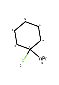 [CH2]CCC1(F)CCCCC1